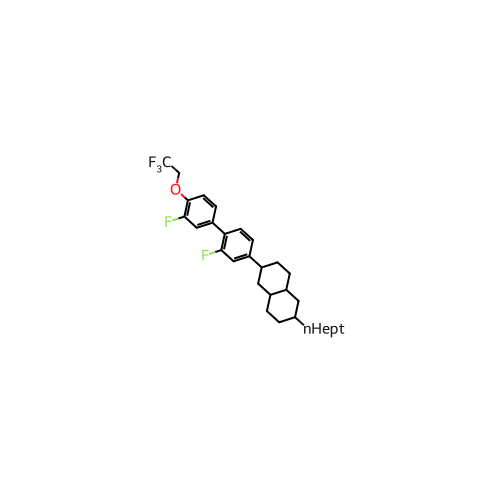 CCCCCCCC1CCC2CC(c3ccc(-c4ccc(OCC(F)(F)F)c(F)c4)c(F)c3)CCC2C1